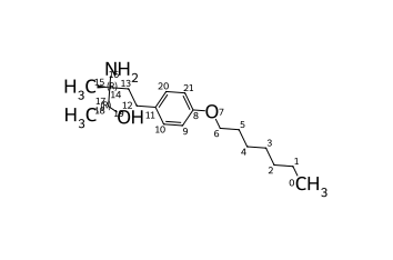 CCCCCCCOc1ccc(CC[C@@](C)(N)[C@@H](C)O)cc1